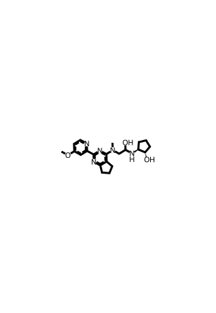 COc1ccnc(-c2nc3c(c(N(C)CC(O)N[C@H]4CCC[C@@H]4O)n2)CCC3)c1